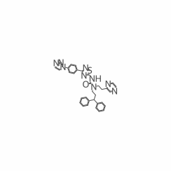 O=C(Nc1nc(-c2ccc(-n3ccnn3)cc2)ns1)N(CCc1cnccn1)CCC(c1ccccc1)c1ccccc1